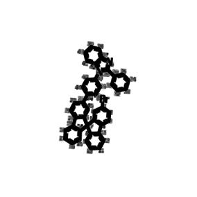 Brc1ccc2c(c1)C1(c3ccccc3-2)c2ccccc2-c2ccc(-c3ccc(-n4c(-c5ccccc5)nc5ccccc54)cc3)cc21